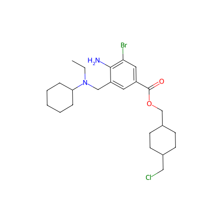 CCN(Cc1cc(C(=O)OCC2CCC(CCl)CC2)cc(Br)c1N)C1CCCCC1